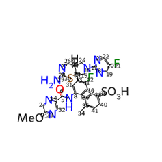 COc1cnc(C(=O)Nc2ccc(F)c([C@]34CN(c5ncc(F)cn5)C[C@@H]3CN=C(N)S4)c2)cn1.Cc1ccc(S(=O)(=O)O)cc1